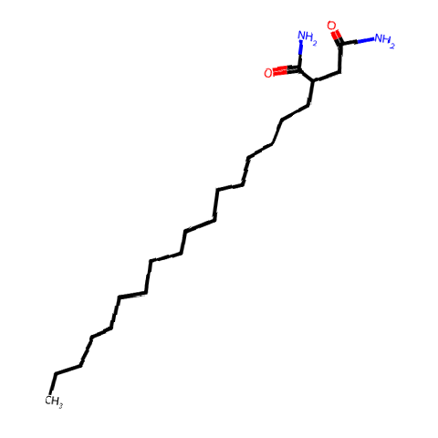 CCCCCCCCCCCCCCCCCC(CC(N)=O)C(N)=O